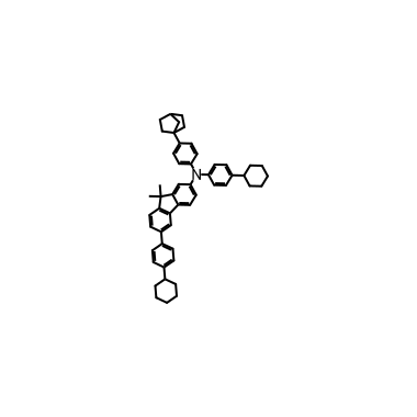 CC1(C)c2ccc(-c3ccc(C4CCCCC4)cc3)cc2-c2ccc(N(c3ccc(C4CCCCC4)cc3)c3ccc(C45CCC(CC4)C5)cc3)cc21